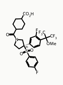 COC(c1ccc([C@]2(S(=O)(=O)c3ccc(F)cc3)CCN(C(=O)C3CCC(C(=O)O)CC3)C2)cc1F)(C(F)(F)F)C(F)(F)F